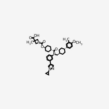 COc1ccc([C@H]2CC[C@H](CN(c3cccc(-c4cnn(C5CC5)c4)c3)C(=O)[C@H]3CC[C@H](OC(=O)N4CC(C)(C(=O)O)C4)CC3)CC2)cc1C